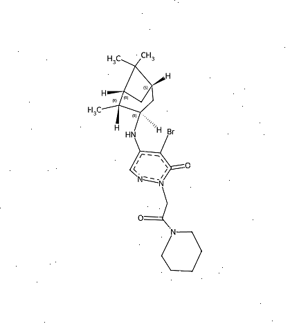 C[C@@H]1[C@H]2C[C@@H](C[C@H]1Nc1cnn(CC(=O)N3CCCCC3)c(=O)c1Br)C2(C)C